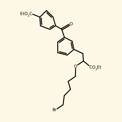 CCOC(=O)c1ccc(C(=O)c2cccc(CC(OCCCCCBr)C(=O)OCC)c2)cc1